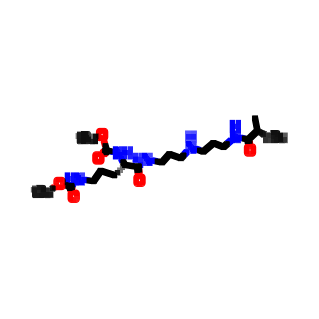 CCCC[C@H](C)C(=O)NCCCNCCCNC(=O)[C@H](CCCNC(=O)OC(C)(C)C)NC(=O)OC(C)(C)C